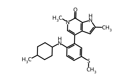 CSc1ccc(NC2CCC(C)CC2)c(-c2cn(C)c(=O)c3[nH]c(C)cc23)c1